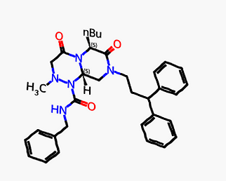 CCCC[C@H]1C(=O)N(CCC(c2ccccc2)c2ccccc2)C[C@H]2N1C(=O)CN(C)N2C(=O)NCc1ccccc1